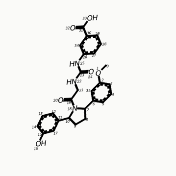 COc1cccc(C2CCC(c3cccc(O)c3)N2C(=O)CNC(=O)Nc2cccc(C(=O)O)c2)c1